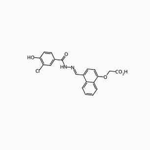 O=C(O)COc1ccc(C=NNC(=O)c2ccc(O)c(Cl)c2)c2ccccc12